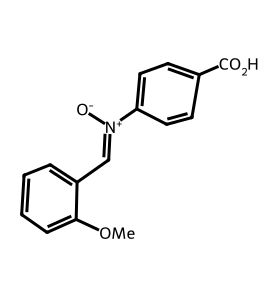 COc1ccccc1C=[N+]([O-])c1ccc(C(=O)O)cc1